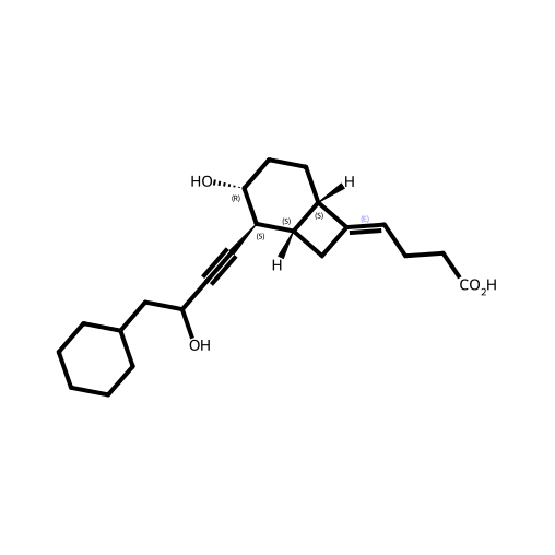 O=C(O)CC/C=C1\C[C@@H]2[C@@H](C#CC(O)CC3CCCCC3)[C@H](O)CC[C@H]12